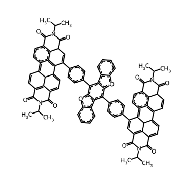 CC(C)N1C(=O)C2=CC=C3C4=c5c6c(ccc5=C5C=CC(=C2C35)C1=O)C(=O)N(C(C)C)C(=O)C6C=C4c1ccc(-c2c3oc4ccccc4c3c(-c3ccc(C4=CC5=C6C(=CC=C7C8=c9c%10c(ccc9=C4C76)C(=O)N(C(C)C)C(=O)C%10C=C8)C(=O)N(C(C)C)C5=O)cc3)c3oc4ccccc4c23)cc1